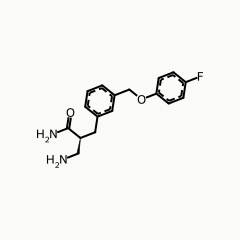 NC[C@H](Cc1cccc(COc2ccc(F)cc2)c1)C(N)=O